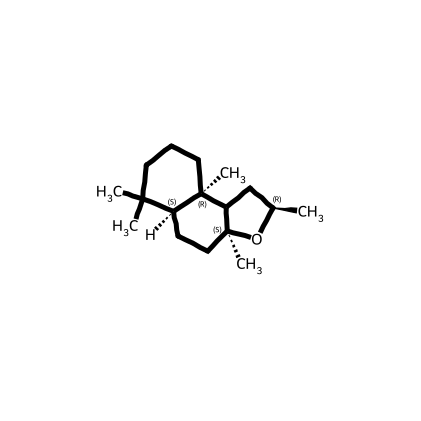 C[C@@H]1CC2[C@]3(C)CCCC(C)(C)[C@@H]3CC[C@]2(C)O1